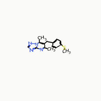 CSc1ccc(Cc2c(C)nc3ncnn3c2C)cc1